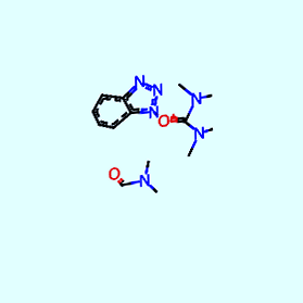 CN(C)C(=[O+]n1nnc2ccccc21)N(C)C.CN(C)C=O